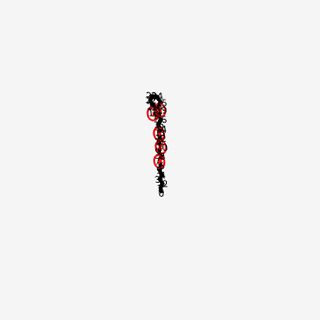 CCCCCCCOCCOCCOCCCC(=O)OC1CCCCC1